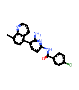 Cc1ccc(-c2ccc(NC(=O)c3ccc(Cl)cc3)nc2N)c2cccnc12